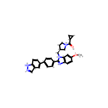 COc1ccc2nc(-c3ccc(-c4ccc5[nH]ncc5c4)cc3)n(C[C@H]3CCN(C(=O)C4CC4)C3)c2c1